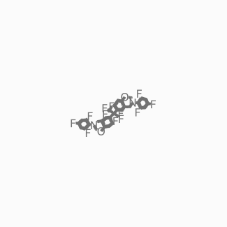 Fc1cc(F)c(N2COc3ccc(C(c4ccc5c(c4)CN(c4c(F)cc(F)cc4F)CO5)(C(F)(F)F)C(F)(F)F)cc3C2)c(F)c1